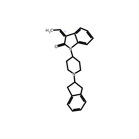 C/C=C1\C(=O)N(C2CCN(C3Cc4ccccc4C3)CC2)c2ccccc21